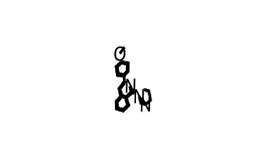 COc1ccc(-c2cc3ccccc3c(N3C=NCCC3)n2)cc1